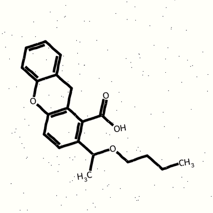 CCCCOC(C)c1ccc2c(c1C(=O)O)Cc1ccccc1O2